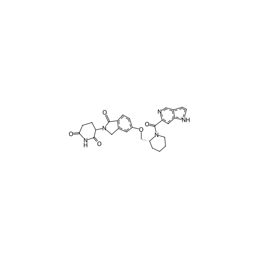 O=C1CCC(N2Cc3cc(OC[C@H]4CCCCN4C(=O)c4cc5[nH]ccc5cn4)ccc3C2=O)C(=O)N1